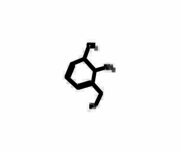 CC(C)CC1=CC=CC(C)C1N